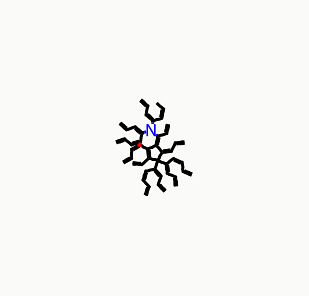 C=C/C=C\C1=C(C=C)C(C(/C=C\C=C)=C/C=C)(C(/C=C\C=C)=C/C=C)C(=C/C=C)/C1=C(\C=C)N(C(/C=C\C)=C/C=C)C(/C=C\C=C)=C/C=C